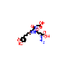 COc1cc(C=CCSC[C@H](NC(=O)CC[C@H](N)C(=O)O)C(=O)NCC(=O)O)ccc1O